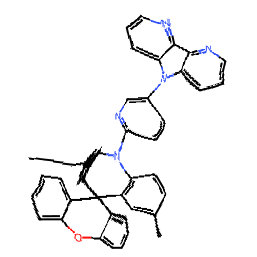 Cc1ccc2c(c1)C1(c3ccccc3Oc3ccccc31)c1cc(C)ccc1N2c1ccc(-n2c3cccnc3c3ncccc32)cn1